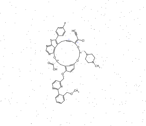 C#C/C(Cl)=C1\C=C/Cc2c(-c3ccc(F)cc3)sc3ncnc(c23)O[C@@H](C(=O)O)Cc2cc(ccc2OCc2ccnc(-c3ccccc3COC)n2)OC[C@@H](CN2CCN(C)CC2)O1